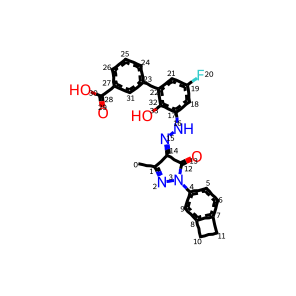 CC1=NN(c2ccc3c(c2)CC3)C(=O)/C1=N\Nc1cc(F)cc(-c2cccc(C(=O)O)c2)c1O